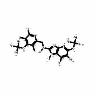 [2H]c1nc(C[S+]([O-])c2nc3nc(OC([2H])([2H])[2H])c([2H])c([2H])c3n2[2H])c(C)c(OC([2H])([2H])[2H])c1C